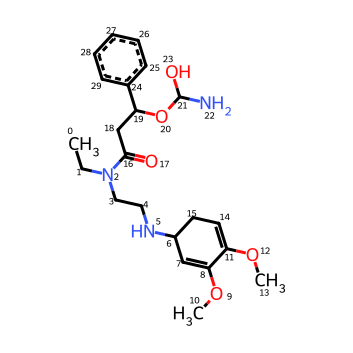 CCN(CCNC1C=C(OC)C(OC)=CC1)C(=O)CC(OC(N)O)c1ccccc1